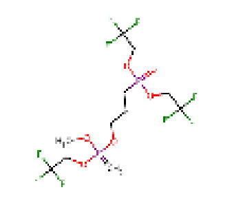 C=P(OC)(OCCCP(=O)(OCC(F)(F)F)OCC(F)(F)F)OCC(F)(F)F